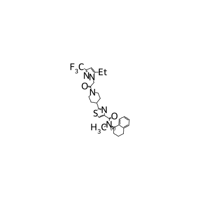 CCc1cc(C(F)(F)F)nn1CC(=O)N1CCC(c2nc(C(=O)N(C)[C@@H]3CCCc4ccccc43)cs2)CC1